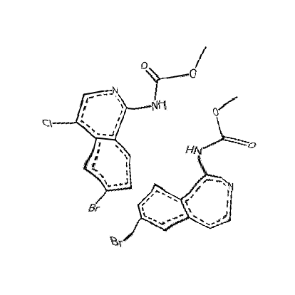 COC(=O)Nc1ncc(Cl)c2cc(Br)ccc12.COC(=O)Nc1nccc2cc(Br)ccc12